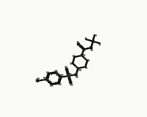 CC(C)(C)OC(=O)N1CCC(OS(=O)(=O)c2ccc(Br)cc2)CC1